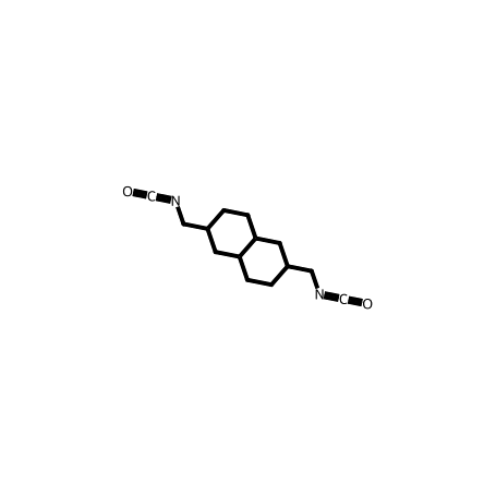 O=C=NCC1CCC2CC(CN=C=O)CCC2C1